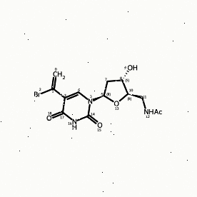 C=C(Br)c1cn([C@H]2C[C@H](O)[C@@H](CNC(C)=O)O2)c(=O)[nH]c1=O